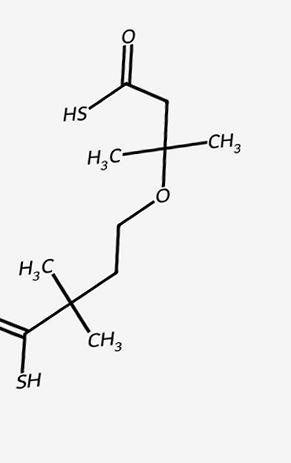 CC(C)(CC(=O)S)OCCC(C)(C)C(=O)S